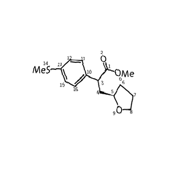 COC(=O)C(C[C@H]1CCCO1)c1ccc(SC)cc1